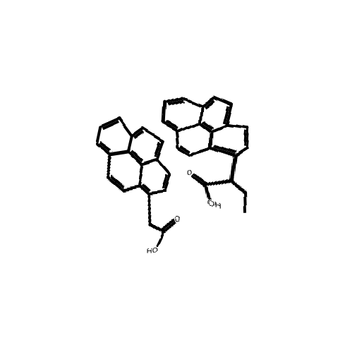 CCC(C(=O)O)c1ccc2ccc3cccc4ccc1c2c34.O=C(O)Cc1ccc2ccc3cccc4ccc1c2c34